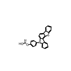 OBOc1ccc(-n2c3ccccc3c3c4sc5ccccc5c4ccc32)cc1